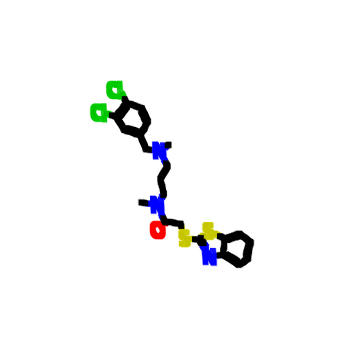 CN(CCCN(C)C(=O)CSc1nc2ccccc2s1)Cc1ccc(Cl)c(Cl)c1